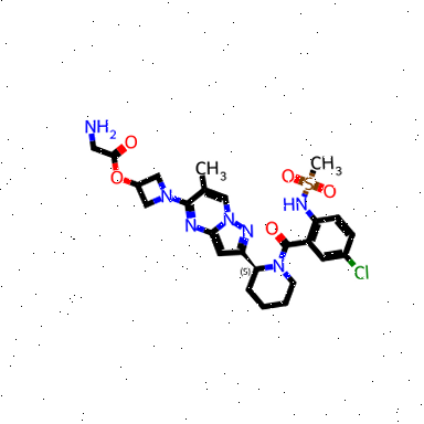 Cc1cn2nc([C@@H]3CCCCN3C(=O)c3cc(Cl)ccc3NS(C)(=O)=O)cc2nc1N1CC(OC(=O)CN)C1